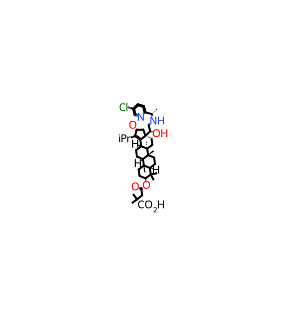 CC(C)C1=C2[C@H]3CC[C@@H]4[C@@]5(C)CC[C@H](OC(=O)CC(C)(C)C(=O)O)C(C)(C)[C@@H]5CC[C@@]4(C)[C@]3(C)CC[C@@]2([C@H](O)CN[C@@H](C)c2ccc(Cl)cn2)CC1=O